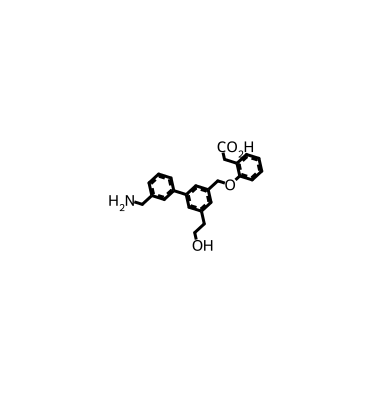 NCc1cccc(-c2cc(CCO)cc(COc3ccccc3CC(=O)O)c2)c1